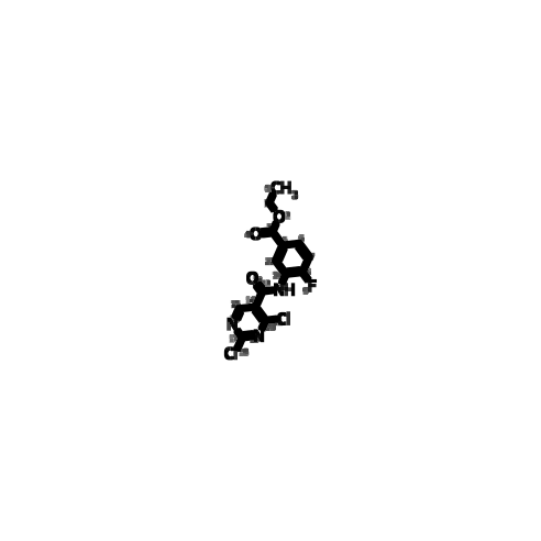 CCOC(=O)c1ccc(F)c(NC(=O)c2cnc(Cl)nc2Cl)c1